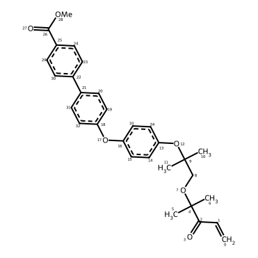 C=CC(=O)C(C)(C)OCC(C)(C)Oc1ccc(Oc2ccc(-c3ccc(C(=O)OC)cc3)cc2)cc1